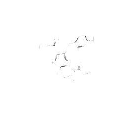 C[C@H]1COc2nc(C(=O)O)c(Cc3ccc(F)cc3)cc2N1C(=O)CCl